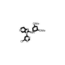 COc1cc(Nc2nc3ccncc3n2-c2cc(Cl)ncn2)cc(OC)c1